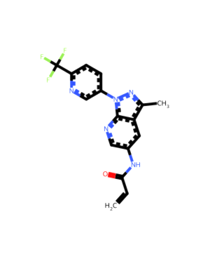 C=CC(=O)Nc1cnc2c(c1)c(C)nn2-c1ccc(C(F)(F)F)nc1